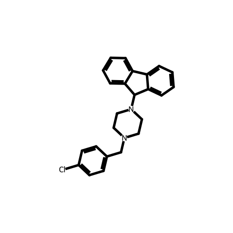 Clc1ccc(CN2CCN(C3c4ccccc4-c4ccccc43)CC2)cc1